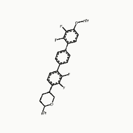 CCCOc1ccc(-c2ccc(-c3ccc(C4CCC(CCC)OC4)c(F)c3F)cc2)c(F)c1F